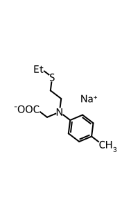 CCSCCN(CC(=O)[O-])c1ccc(C)cc1.[Na+]